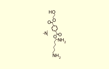 CN(C)C.NCCCCCC(N)OC(=O)c1ccc(C(=O)OCCO)cc1